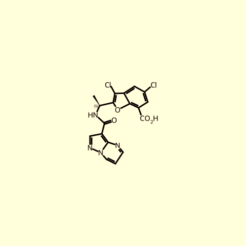 C[C@H](NC(=O)c1cnn2cccnc12)c1oc2c(C(=O)O)cc(Cl)cc2c1Cl